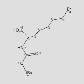 CC(C)(C)OC(=O)N[C@@H](CCCCCBr)C(=O)O